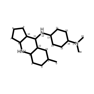 CC1CCC2NC3CCCC3C(NC3CCC(N(C)C)CC3)C2C1